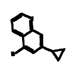 Brc1cc(C2CC2)cc2ncccc12